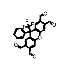 O=Cc1cc2c(cc1C=O)C(c1ccccc1)(C(F)(F)F)c1cc(C=O)c(C=O)cc1O2